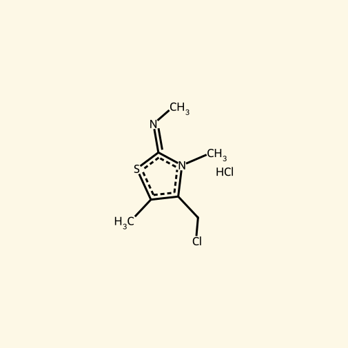 CN=c1sc(C)c(CCl)n1C.Cl